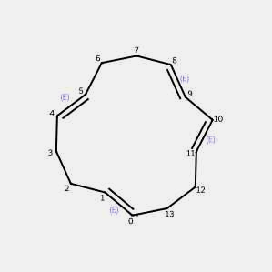 [C]1=C/CC/C=C/CC/C=C/C=C/CC/1